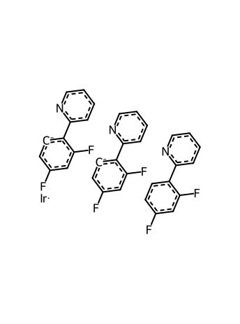 Fc1c[c-]c(-c2ccccn2)c(F)c1.Fc1c[c-]c(-c2ccccn2)c(F)c1.Fc1ccc(-c2ccccn2)c(F)c1.[Ir]